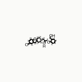 OCc1ccccc1OCC(O)CN1CCC2(CC1)Cc1cc(Cl)ccc1O2